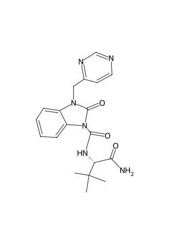 CC(C)(C)[C@H](NC(=O)n1c(=O)n(Cc2ccncn2)c2ccccc21)C(N)=O